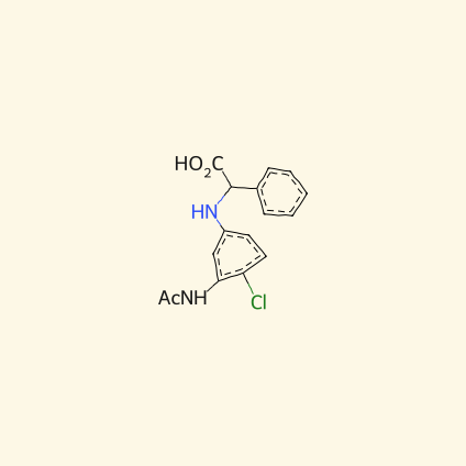 CC(=O)Nc1cc(NC(C(=O)O)c2ccccc2)ccc1Cl